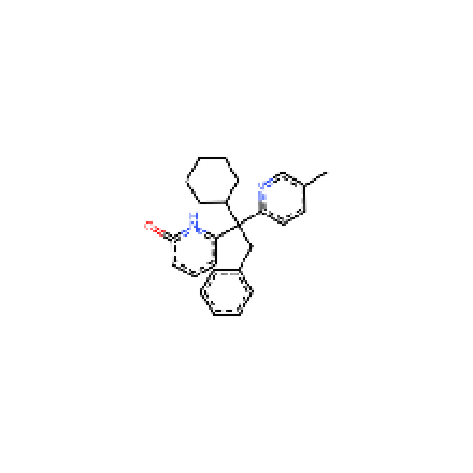 Cc1ccc(C(Cc2ccccc2)(c2cccc(=O)[nH]2)C2CCCCC2)nc1